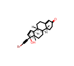 C[C@]12CCC(=O)C=C1CC[C@@H]1[C@@H]2CC[C@@]2(C)[C@H]1C=C[C@@]2(O)C#CBr